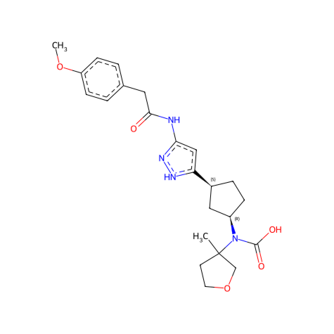 COc1ccc(CC(=O)Nc2cc([C@H]3CC[C@@H](N(C(=O)O)C4(C)CCOC4)C3)[nH]n2)cc1